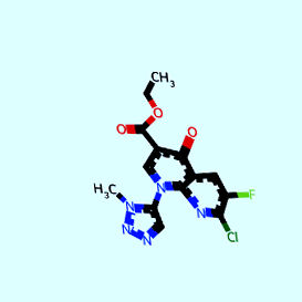 CCOC(=O)c1cn(-c2cnnn2C)c2nc(Cl)c(F)cc2c1=O